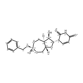 O=c1ccn([C@@H]2O[C@@H]3CO[P@@](=O)(OCc4ccccc4)OC[C@H]3[C@H]2O)c(=O)[nH]1